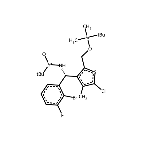 Cc1c(Cl)sc(CO[Si](C)(C)C(C)(C)C)c1[C@@H](N[S+]([O-])C(C)(C)C)c1cccc(F)c1Br